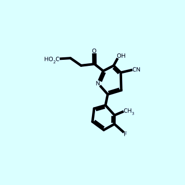 Cc1c(F)cccc1-c1cc(C#N)c(O)c(C(=O)CCC(=O)O)n1